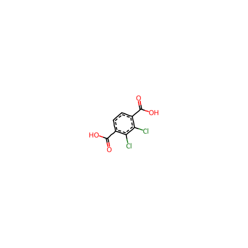 O=C(O)c1ccc(C(=O)O)c(Cl)c1Cl